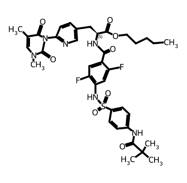 CCCCCOC(=O)[C@H](Cc1ccc(-n2c(=O)c(C)cn(C)c2=O)nc1)NC(=O)c1cc(F)c(NS(=O)(=O)c2ccc(NC(=O)C(C)(C)C)cc2)cc1F